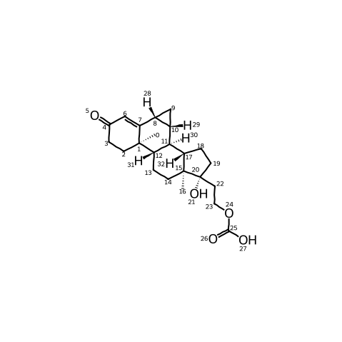 C[C@]12CCC(=O)C=C1[C@@H]1C[C@@H]1[C@@H]1[C@@H]2CC[C@@]2(C)[C@H]1CC[C@@]2(O)CCOC(=O)O